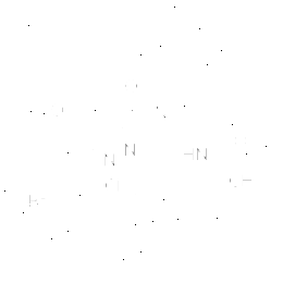 CC(=O)NCCN(Cc1ccccc1)C(=O)c1nn(C)c2c1COc1ccc(Br)cc1-2